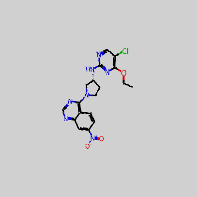 CCOc1nc(N[C@@H]2CCN(c3ncnc4cc([N+](=O)[O-])ccc34)C2)ncc1Cl